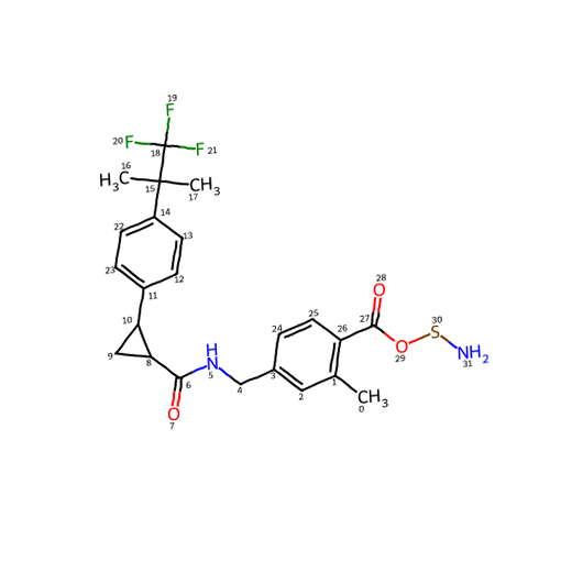 Cc1cc(CNC(=O)C2CC2c2ccc(C(C)(C)C(F)(F)F)cc2)ccc1C(=O)OSN